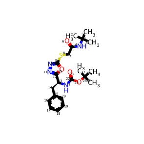 CC(C)(C)NC(=O)CSc1nnc([C@H](Cc2ccccc2)NC(=O)OC(C)(C)C)o1